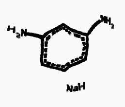 Nc1cccc(N)c1.[NaH]